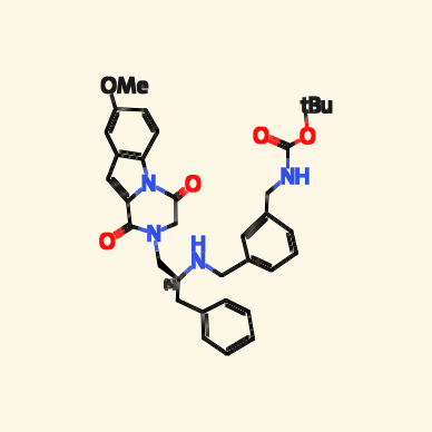 COc1ccc2c(c1)cc1n2C(=O)CN(C[C@H](Cc2ccccc2)NCc2cccc(CNC(=O)OC(C)(C)C)c2)C1=O